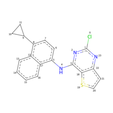 Clc1nc(Nc2ccc(C3CC3)c3ccccc23)c2sccc2n1